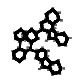 c1ccc(-c2ccccc2N(c2cccc(-c3cc4ccccc4c4c3oc3ccccc34)c2)c2ccc3c(c2)oc2ccccc23)cc1